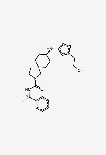 C[C@H](NC(=O)N1CC[C@]2(CC[C@H](Nc3cnn(CCO)c3)CC2)C1)c1ccccc1